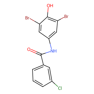 O=C(Nc1cc(Br)c(O)c(Br)c1)c1cccc(Cl)c1